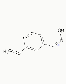 C=Cc1cccc(/C=N\O)c1